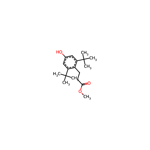 COC(=O)CCc1c(C(C)(C)C)cc(O)cc1C(C)(C)C